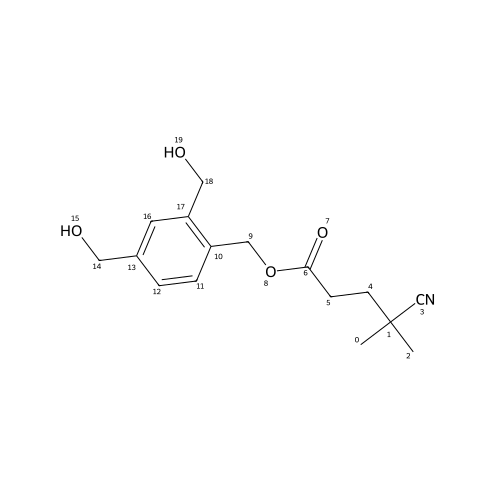 CC(C)(C#N)CCC(=O)OCc1ccc(CO)cc1CO